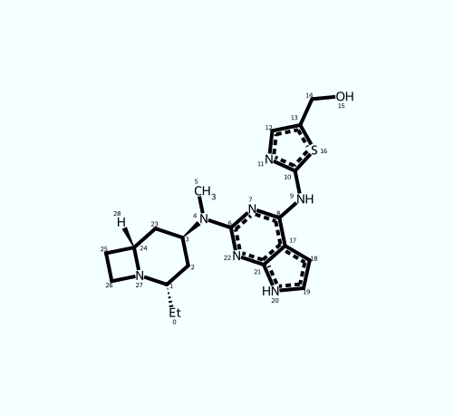 CC[C@H]1C[C@H](N(C)c2nc(Nc3ncc(CO)s3)c3cc[nH]c3n2)C[C@H]2CCN21